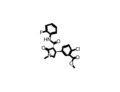 COC(=O)c1cc([C@H]2CN(C)C(=O)[C@@H]2C(=O)Nc2ccccc2F)ccc1Cl